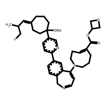 COC1(c2ccc(-c3ccc4c(c3)C(N3CC/C=C(\C(=O)OC5COC5)CCC3)=CC=NC4)nc2)CCC/C(=C/C(C)CF)CC1